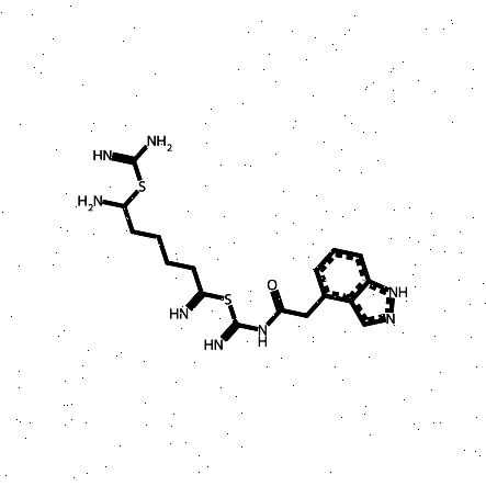 N=C(N)SC(N)CCCCC(=N)SC(=N)NC(=O)Cc1cccc2[nH]ncc12